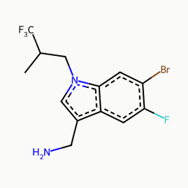 CC(Cn1cc(CN)c2cc(F)c(Br)cc21)C(F)(F)F